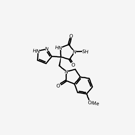 COc1ccc2c(c1)C(=O)N(C[C@@]1(c3cc[nH]n3)NC(=O)N(S)C1=O)C2